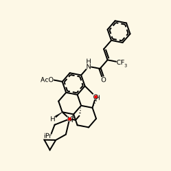 CC(=O)Oc1cc(NC(=O)C(=Cc2ccccc2)C(F)(F)F)c2c3c1C[C@@H]1[C@@H]4CCC[C@H](O2)[C@]34CC[N+]1(CC(C)C)CC1CC1